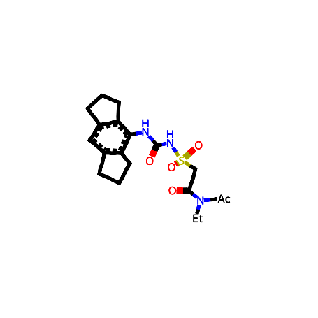 CCN(C(C)=O)C(=O)CS(=O)(=O)NC(=O)Nc1c2c(cc3c1CCC3)CCC2